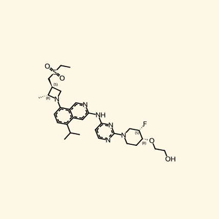 CCS(=O)(=O)C[C@H]1CN(c2ccc(C(C)C)c3cc(Nc4ccnc(N5CC[C@@H](OCCO)[C@@H](F)C5)n4)ncc23)[C@@H]1C